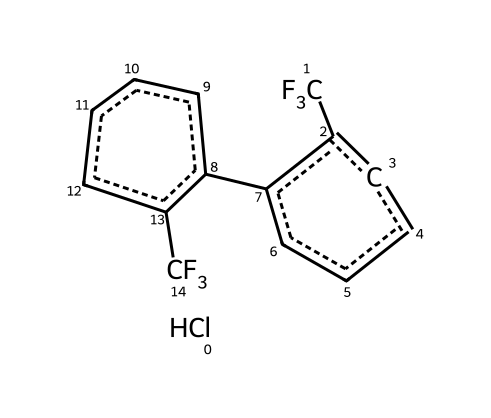 Cl.FC(F)(F)c1ccccc1-c1ccccc1C(F)(F)F